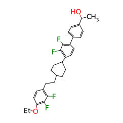 CCOc1ccc(CCC2CCC(c3ccc(-c4ccc(C(C)O)cc4)c(F)c3F)CC2)c(F)c1F